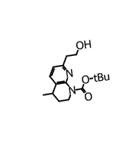 CC1CCN(C(=O)OC(C)(C)C)c2nc(CCO)ccc21